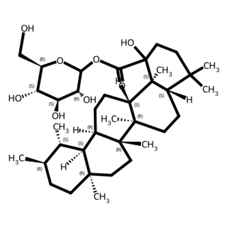 C[C@@H]1[C@H]2[C@H]3CC[C@@H]4[C@]5(C)[C@@H](CC[C@@]4(C)[C@]3(C)CC[C@@]2(C)CC[C@H]1C)C(C)(C)CCC5(O)C(=O)OC1O[C@H](CO)[C@@H](O)[C@H](O)[C@H]1O